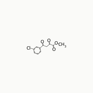 COC(=O)C(=O)CC(=O)c1cccc(Cl)c1